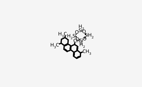 CC1Cc2c(ccc3c2C(C)C=C2C3=CC=CC2C)C(C)C1.O1[SiH2]O[SiH2]O[SiH2]O[SiH2]1